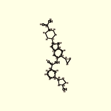 O=C(Nc1cc2cn(C3CCN(C(=O)O)CC3)nc2cc1C1CC1)c1cccc(N2CCC(O)C2)n1